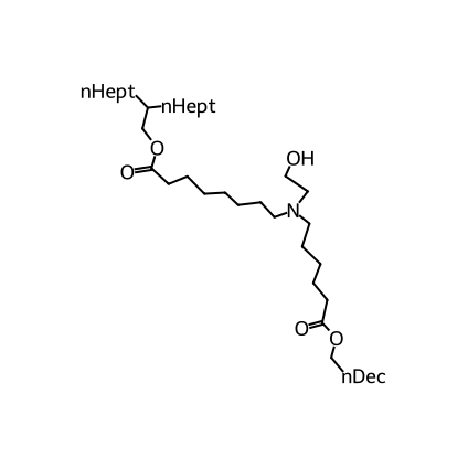 CCCCCCCCCCCOC(=O)CCCCCN(CCO)CCCCCCCC(=O)OCC(CCCCCCC)CCCCCCC